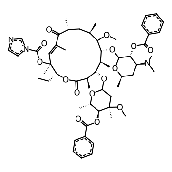 CC[C@H]1OC(=O)[C@H](C)[C@@H](OC2C[C@@](C)(OC)[C@@H](OC(=O)c3ccccc3)[C@H](C)O2)[C@H](C)[C@@H](OC2O[C@H](C)C[C@H](N(C)C)[C@H]2OC(=O)c2ccccc2)C(OC)[C@H](C)C[C@@H](C)C(=O)/C(C)=C/[C@]1(C)OC(=O)n1ccnc1